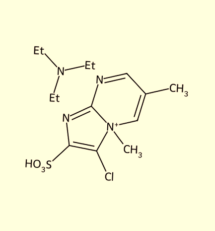 CC1=C[N+]2(C)C(=NC(S(=O)(=O)O)=C2Cl)N=C1.CCN(CC)CC